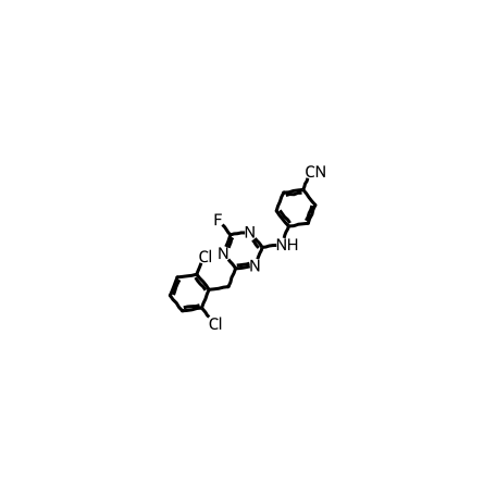 N#Cc1ccc(Nc2nc(F)nc(Cc3c(Cl)cccc3Cl)n2)cc1